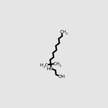 CCCCCCCCCC(C)(C)NCCO